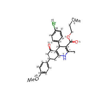 COCCOC(=O)C1=C(C)NC2=C(C(=O)CC(c3ccc(OC)cc3)C2)C1c1ccc(Br)cc1